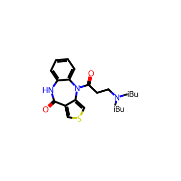 CCC(C)N(CCC(=O)N1c2ccccc2NC(=O)c2cscc21)C(C)CC